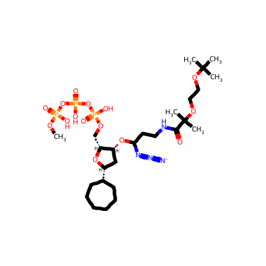 COP(=O)(O)OP(=O)(O)OP(=O)(O)OC[C@H]1O[C@@H](C2CCCCCC2)C[C@H]1OC(CCNC(=O)C(C)(C)OCCOC(C)(C)C)N=[N+]=[N-]